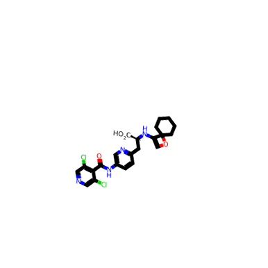 O=C(Nc1ccc(C[C@H](NC2=COC23CCCCC3)C(=O)O)nc1)c1c(Cl)cncc1Cl